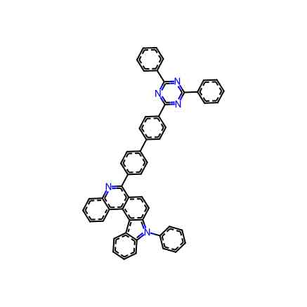 c1ccc(-c2nc(-c3ccccc3)nc(-c3ccc(-c4ccc(-c5nc6ccccc6c6c5ccc5c6c6ccccc6n5-c5ccccc5)cc4)cc3)n2)cc1